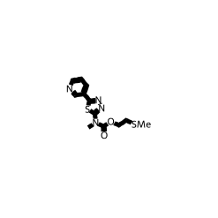 CSCCOC(=O)N(C)c1nnc(-c2cccnc2)s1